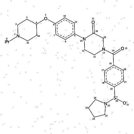 CC(C)N1CCC(Oc2ccc(N3CCN(C(=O)c4ccc([S+]([O-])N5CCCC5)cc4)CC3=O)cc2)CC1